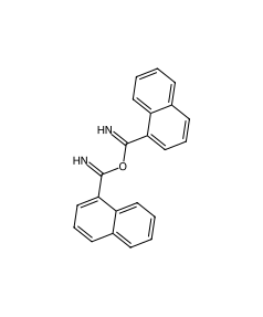 N=C(OC(=N)c1cccc2ccccc12)c1cccc2ccccc12